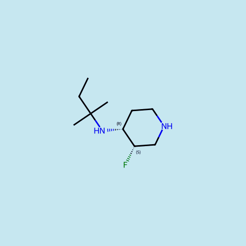 CCC(C)(C)N[C@@H]1CCNC[C@@H]1F